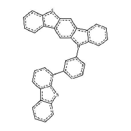 c1cc(-c2cccc3c2sc2ccccc23)cc(-n2c3ccccc3c3cc4sc5ccccc5c4cc32)c1